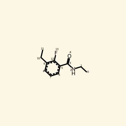 CCNC(=O)c1cccc(CC)c1F